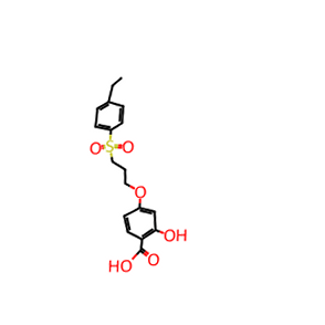 CCc1ccc(S(=O)(=O)CCCOc2ccc(C(=O)O)c(O)c2)cc1